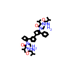 CCN(C(=O)[C@@H](NC(=O)[C@@H](N)C(C)C)C(C)C)C1C2CCC(C2)C1c1cccc(C2CC3CC2C(c2ccccc2)C3N(CC)C(=O)[C@H](NC(=O)[C@@H](N)C(C)C)C(C)C)c1